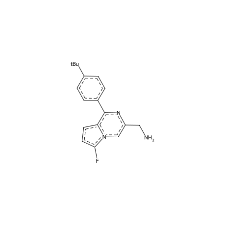 CC(C)(C)c1ccc(-c2nc(CN)cn3c(F)ccc23)cc1